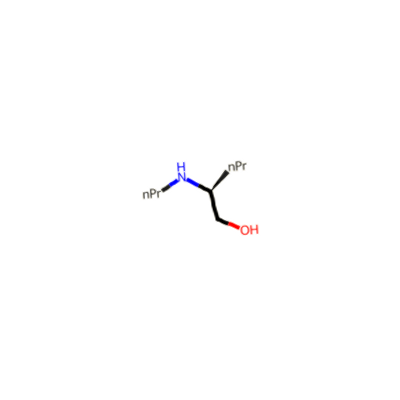 CCCN[C@H](CO)CCC